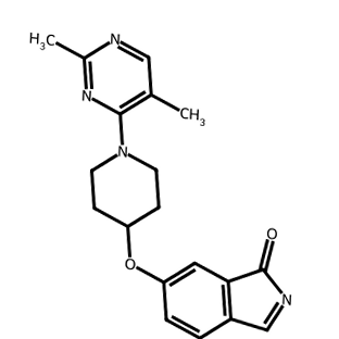 Cc1ncc(C)c(N2CCC(Oc3ccc4c(c3)C(=O)N=C4)CC2)n1